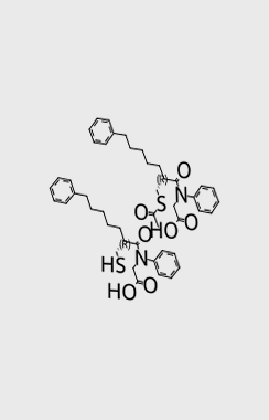 CC(=O)SC[C@H](CCCCCc1ccccc1)C(=O)N(CC(=O)O)c1ccccc1.O=C(O)CN(C(=O)[C@H](CS)CCCCCc1ccccc1)c1ccccc1